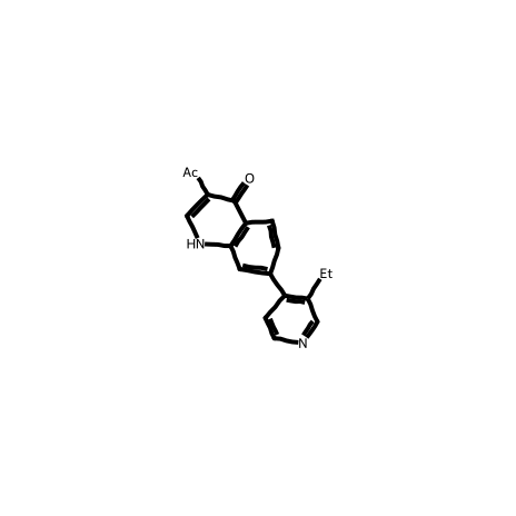 CCc1cnccc1-c1ccc2c(=O)c(C(C)=O)c[nH]c2c1